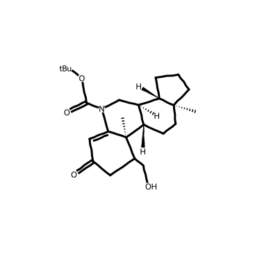 CC(C)(C)OC(=O)N1C[C@H]2[C@@H]3CCC[C@@]3(C)CC[C@@H]2[C@]2(C)C1=CC(=O)CC2CO